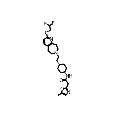 Cc1cnc(CC(=O)N[C@H]2CC[C@H](CCN3CCc4ccc(OCC(F)F)nc4CC3)CC2)o1